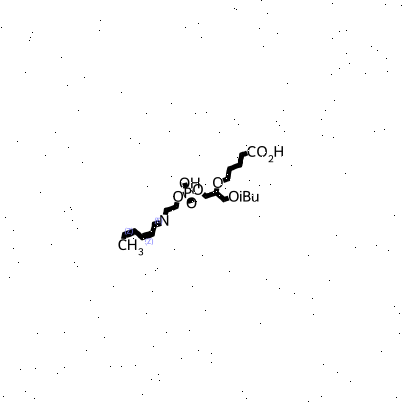 C\C=C/C=C\C=N\CCOP(=O)(O)OCC(COCC(C)C)OCCCCC(=O)O